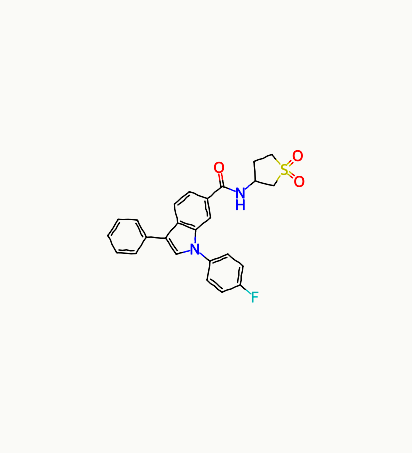 O=C(NC1CCS(=O)(=O)C1)c1ccc2c(-c3ccccc3)cn(-c3ccc(F)cc3)c2c1